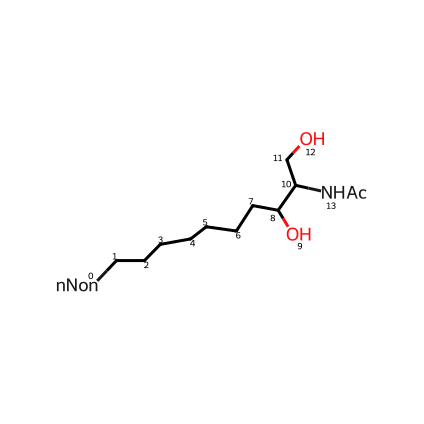 CCCCCCCCCCCCCCCCC(O)C(CO)NC(C)=O